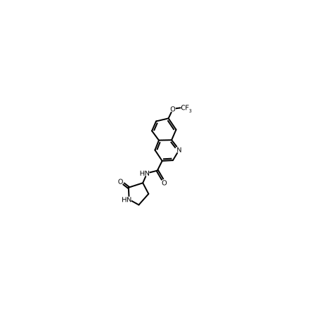 O=C(NC1CCNC1=O)c1cnc2cc(OC(F)(F)F)ccc2c1